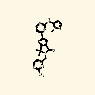 Cn1nccc1Nc1nccc(-c2cc3c(s2)C(C)(C)N(Cc2ccnc(C(F)(F)F)n2)C3=O)n1